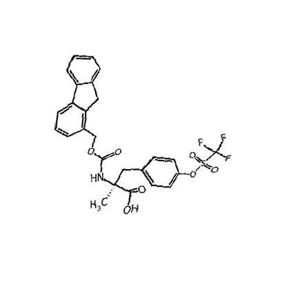 C[C@@](Cc1ccc(OS(=O)(=O)C(F)(F)F)cc1)(NC(=O)OCc1cccc2c1Cc1ccccc1-2)C(=O)O